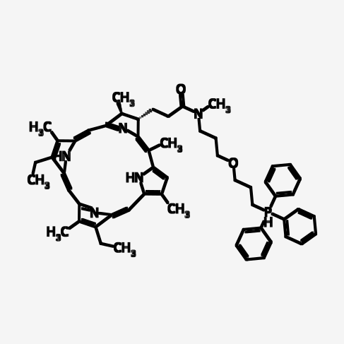 CCC1=C(C)c2cc3[nH]c(cc4nc(c(C)c5cc(C)c(cc1n2)[nH]5)[C@@H](CCC(=O)N(C)CCCOCCC[PH](c1ccccc1)(c1ccccc1)c1ccccc1)[C@@H]4C)c(C)c3CC